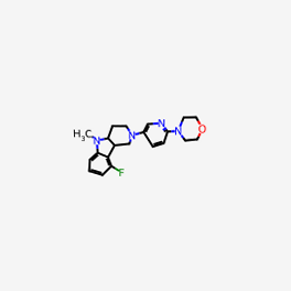 CN1c2cccc(F)c2C2CN(c3ccc(N4CCOCC4)nc3)CCC21